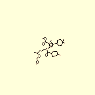 COCOC(C)CCCN(C(=O)C1CCC(C)CC1)c1cc(C2=CCC(C)(C)CC2)sc1C(=O)OC